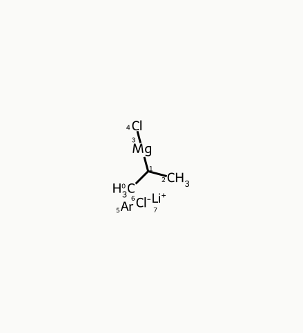 C[CH](C)[Mg][Cl].[Ar].[Cl-].[Li+]